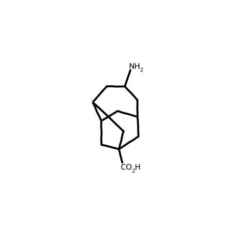 NC1CC2CC3CC(C(=O)O)(C2)CC3C1